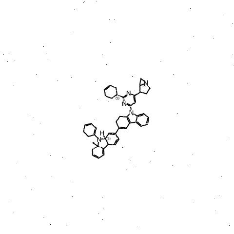 CC12CC=CC=C1C1C=CC(C3=Cc4c(n(-c5cc(C6CC[N@]7CC67)nc([C@@H]6CC=CCC6)n5)c5ccccc45)CC3)=C[C@H]1N2C1=CC=CCC1